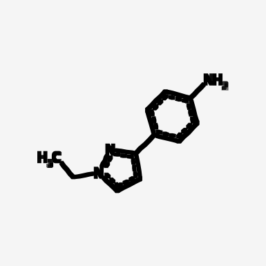 CCn1ccc(-c2ccc(N)cc2)n1